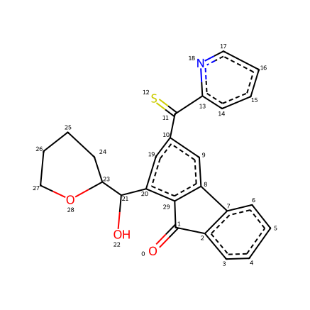 O=C1c2ccccc2-c2cc(C(=S)c3ccccn3)cc(C(O)C3CCCCO3)c21